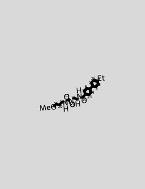 CCc1ccc(-c2ccc(C(=O)NCCN(O)C(=O)NCCCOC)cc2)cc1